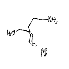 NCC(=O)O.[Al]